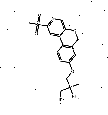 CC(C)CC(C)(N)COc1ccc2c(c1)COc1cnc(S(C)(=O)=O)cc1-2